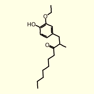 CCCCCCCC(=O)C(C)Cc1ccc(O)c(OCC)c1